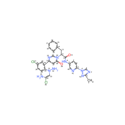 Cc1ncn(-c2ccc(NC(=O)C(Cc3ccccc3)n3cnc(-c4cc(Cl)ccc4N(N)/C=C(\N)Cl)cc3=O)cn2)n1